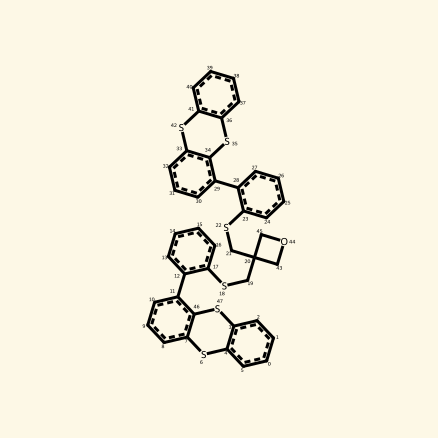 c1ccc2c(c1)Sc1cccc(-c3ccccc3SCC3(CSc4ccccc4-c4cccc5c4Sc4ccccc4S5)COC3)c1S2